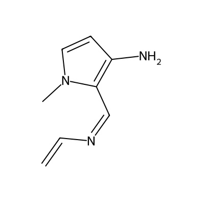 C=C/N=C\c1c(N)ccn1C